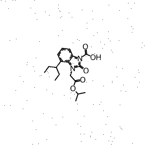 CCC(CC)c1cccc2c1n(CC(=O)OC(C)C)c(=O)n2C(=O)O